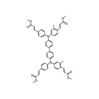 COC(=O)/C=C/c1ccc(N(c2ccc(-c3ccc(N(c4ccc(/C=C/C(=O)OC)cc4)c4ccc(/C=C/C(=O)OC)c(C)c4)cc3)cc2)c2ccc(/C=C/C(=O)OC)c(C)c2)cc1